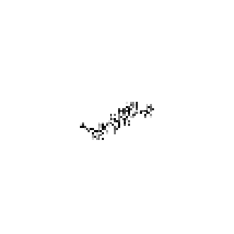 CN(C)C(=O)/C=C/CCC(NC(=O)O)C(=O)Nc1cccn(Cc2nc3c(/C=C/C4CC4)ncnc3[nH]2)c1=O